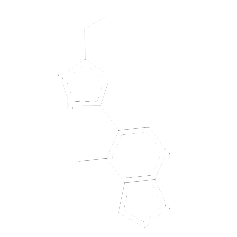 OCc1nnc(-c2cnc3[nH]ccc3c2Cl)o1